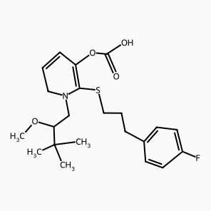 COC(CN1CC=CC(OC(=O)O)=C1SCCCc1ccc(F)cc1)C(C)(C)C